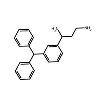 NCCC(N)c1cccc(C(c2ccccc2)c2ccccc2)c1